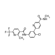 CNC(=O)c1ccc(-c2cc(NC(=O)c3ccc(C(F)(F)F)nc3C)ccc2Cl)nc1